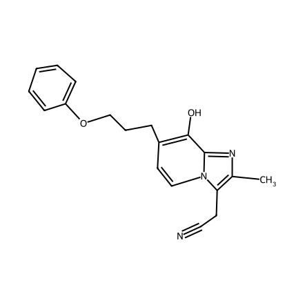 Cc1nc2c(O)c(CCCOc3ccccc3)ccn2c1CC#N